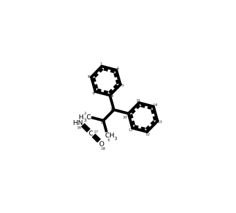 CC(C)C(c1ccccc1)c1ccccc1.N=C=O